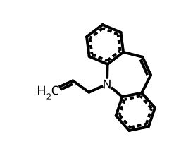 C=CCN1c2ccccc2C=Cc2ccccc21